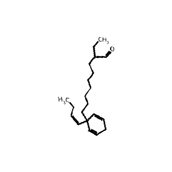 CC/C=C\C1(CCCCCCCC(C=O)CC)C=CCC=C1